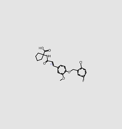 COc1cc(/C=C/C(=O)NC2(C(=O)O)CCCC2)ccc1OCc1cc(F)ccc1Cl